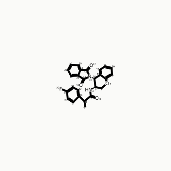 CC(C(=O)N[C@@H]1COc2ccccc2[C@H]1N1C(=O)c2ccccc2C1=O)c1ccc(F)cc1